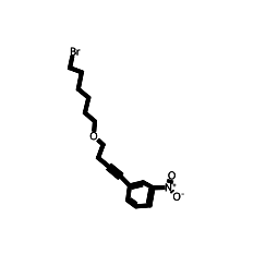 O=[N+]([O-])c1cccc(C#CCCOCCCCCCBr)c1